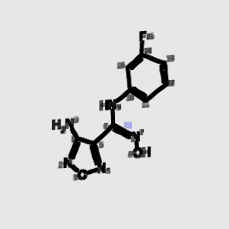 Nc1nonc1/C(=N\O)Nc1cccc(F)c1